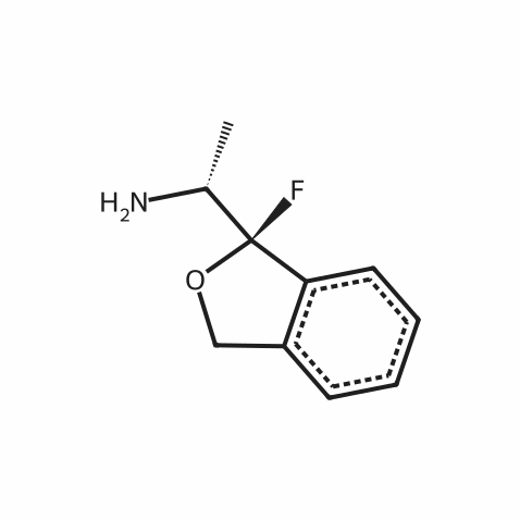 C[C@@H](N)[C@@]1(F)OCc2ccccc21